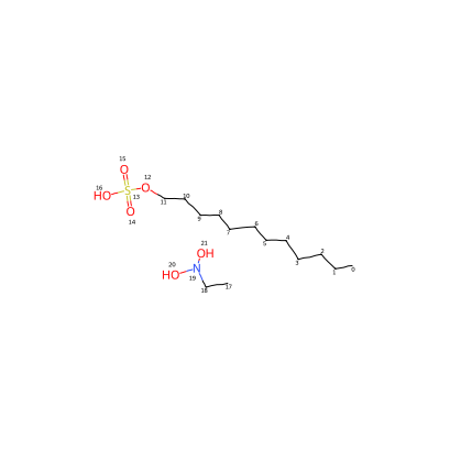 CCCCCCCCCCCCOS(=O)(=O)O.CCN(O)O